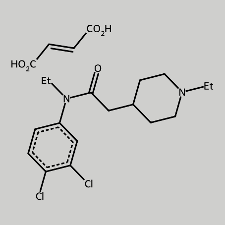 CCN1CCC(CC(=O)N(CC)c2ccc(Cl)c(Cl)c2)CC1.O=C(O)/C=C/C(=O)O